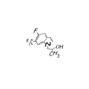 CC(O)Cn1ccc2cc(F)c(C(F)(F)F)cc21